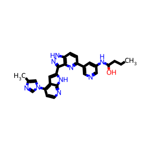 CCCC(O)Nc1cncc(-c2ccc3[nH]nc(-c4cc5c(-n6cnc(C)c6)ccnc5[nH]4)c3n2)c1